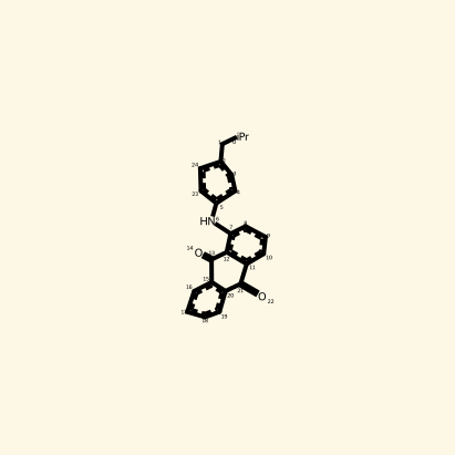 CC(C)Cc1ccc(Nc2cccc3c2C(=O)c2ccccc2C3=O)cc1